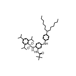 CCCCCCN(CCCCCC)c1ccc(Nc2ccc(NS(=O)(=O)c3c(C(C)C)cc(C(C)C)cc3C(C)C)c(NC(=O)C(C)(C)C)c2)cc1